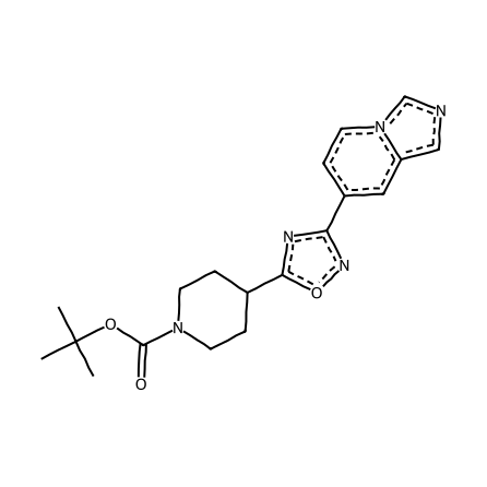 CC(C)(C)OC(=O)N1CCC(c2nc(-c3ccn4cncc4c3)no2)CC1